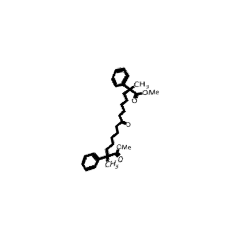 COC(=O)C(C)(CCCCCC(=O)CCCCCC(C)(C(=O)OC)c1ccccc1)c1ccccc1